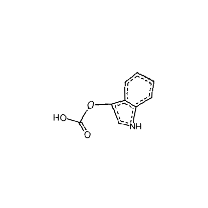 O=C(O)Oc1c[nH]c2ccccc12